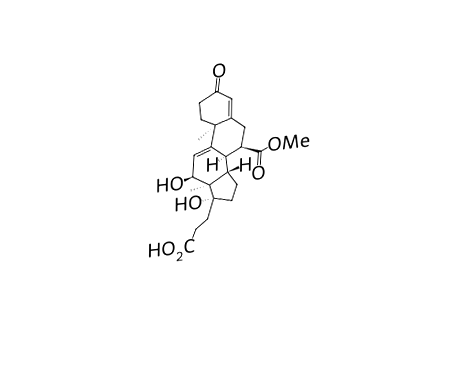 COC(=O)[C@@H]1CC2=CC(=O)CC[C@]2(C)C2=C[C@H](O)[C@@]3(C)[C@@H](CC[C@@]3(O)CCC(=O)O)[C@@H]21